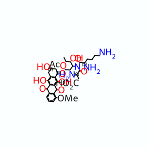 COc1cccc2c1C(=O)c1c(O)c3c(c(O)c1C2=O)C[C@@](O)(C(C)=O)C[C@@H]3OC1CC(N(C(=O)[C@@H](N)CCCCN)C(=O)[C@@H](N)CC(=O)O)C(O)C(C)O1